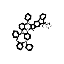 CC1(C)c2ccccc2-c2cc3c4c(sc3cc21)B1c2ccc3cc2N(c2ccccc2Sc2ccccc2N3c2ccccc2)c2cccc(c21)N4c1ccccc1